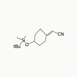 CC(C)(C)[Si](C)(C)OC1CCC(=CC#N)CC1